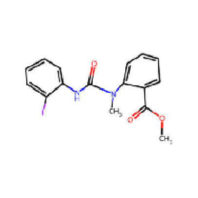 COC(=O)c1ccccc1N(C)C(=O)Nc1ccccc1I